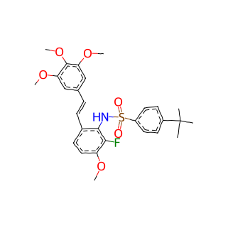 COc1ccc(C=Cc2cc(OC)c(OC)c(OC)c2)c(NS(=O)(=O)c2ccc(C(C)(C)C)cc2)c1F